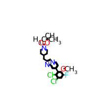 COc1c(F)cc(Cl)c(Cl)c1-c1ccn2cc(CC3CCN(C(=O)OC(C)(C)C)CC3)nc2c1